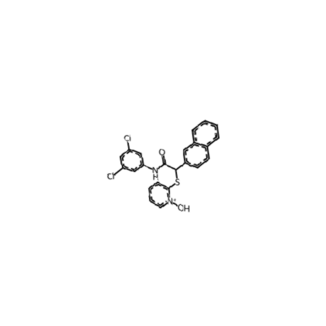 O=C(Nc1cc(Cl)cc(Cl)c1)C(Sc1cccc[n+]1O)c1ccc2ccccc2c1